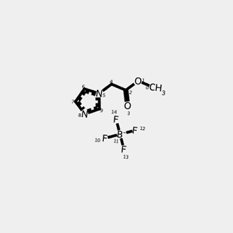 COC(=O)Cn1ccnc1.F[B-](F)(F)F